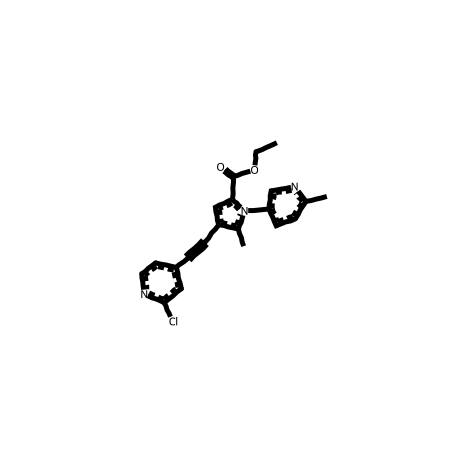 CCOC(=O)c1cc(C#Cc2ccnc(Cl)c2)c(C)n1-c1ccc(C)nc1